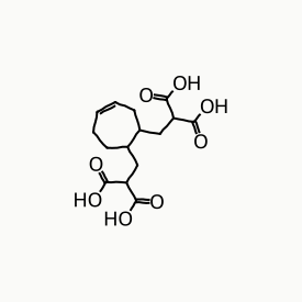 O=C(O)C(CC1CC=CCCC1CC(C(=O)O)C(=O)O)C(=O)O